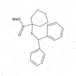 COC(=O)C1(SC(c2ccccc2)c2ccccc2)CCCCC1